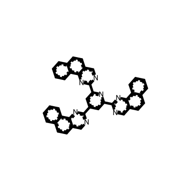 c1ccc2c(c1)ccc1cnc(-c3cc(-c4ncc5ccc6ccccc6c5n4)nc(-c4ncc5ccc6ccccc6c5n4)c3)nc12